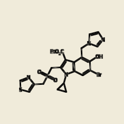 CCOC(=O)c1c(CS(=O)(=O)Cc2cscn2)n(C2CC2)c2cc(Br)c(O)c(Cn3ccnc3)c12